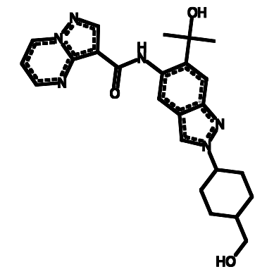 CC(C)(O)c1cc2nn(C3CCC(CO)CC3)cc2cc1NC(=O)c1cnn2cccnc12